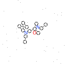 c1ccc(-c2ccc(N(c3ccc(-c4cc5c6ccccc6n(-c6cccc(-c7ccccc7)c6)c5c5c4oc4ccccc45)cc3)c3ccc4c(c3)C3(c5ccccc5-c5ccccc53)c3ccccc3-4)cc2)cc1